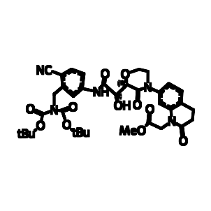 COC(=O)CN1C(=O)CCc2ccc(N3CCO[C@H]([C@@H](O)C(=O)Nc4ccc(C#N)c(CN(C(=O)OC(C)(C)C)C(=O)OC(C)(C)C)c4)C3=O)cc21